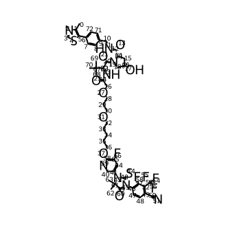 Cc1ncsc1-c1ccc(CNC(=O)[C@@H]2C[C@@H](O)CN2C(=O)[C@@H](NC(=O)COCCCOCCCCCOc2ncc(N3C(=S)N(c4ccc(C#N)c(C(F)(F)F)c4F)C(=O)C3(C)C)cc2F)C(C)(C)C)cc1